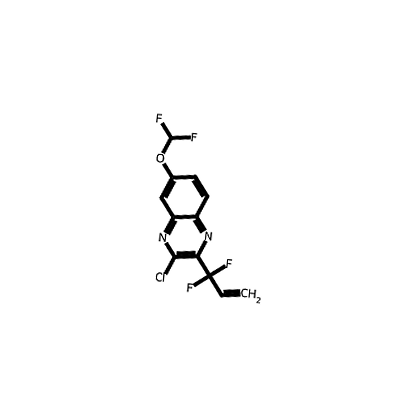 C=CC(F)(F)c1nc2ccc(OC(F)F)cc2nc1Cl